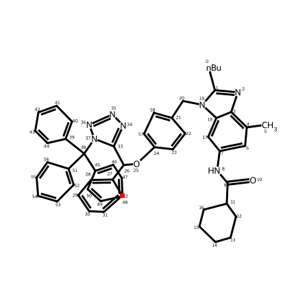 CCCCc1nc2c(C)cc(NC(=O)C3CCCCC3)cc2n1Cc1ccc(OC(c2ccccc2)c2nnnn2C(c2ccccc2)(c2ccccc2)c2ccccc2)cc1